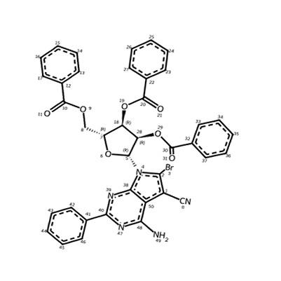 N#Cc1c(Br)n([C@@H]2O[C@H](COC(=O)c3ccccc3)[C@@H](OC(=O)c3ccccc3)[C@H]2OC(=O)c2ccccc2)c2nc(-c3ccccc3)nc(N)c12